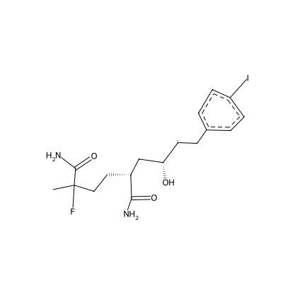 CC(F)(CC[C@H](C[C@@H](O)[CH]Cc1ccc(I)cc1)C(N)=O)C(N)=O